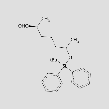 CC(CCC[C@H](C)C=O)O[Si](c1ccccc1)(c1ccccc1)C(C)(C)C